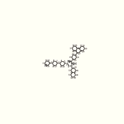 C1=C(c2ccc(-c3ccc(-c4cccnc4)cc3)cc2)N=C(c2ccc(-c3cc4ccccc4c4ccccc34)cc2)NC1c1ccc2ccccc2c1